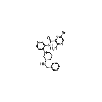 Nc1ncc(Br)nc1C(=O)Nc1cnccc1N1CCCC(NCc2ccccc2)C1